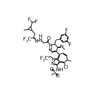 C/C=C(C1=c2c(c(NS(C)(=O)=O)nn2CC(F)(F)F)=C(Cl)C(C)C=C1)\C(=N/C)C(Cc1cc(F)cc(F)c1)NC(=O)CN/N=C(\CC1C(C)C1C(F)F)C(F)(F)F